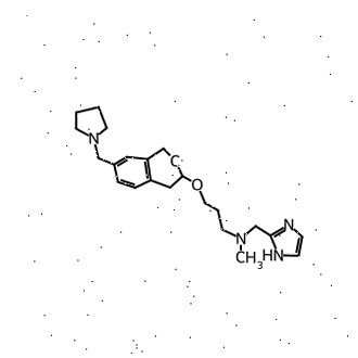 CN(CCCOC1CCc2cc(CN3CCCC3)ccc2C1)Cc1ncc[nH]1